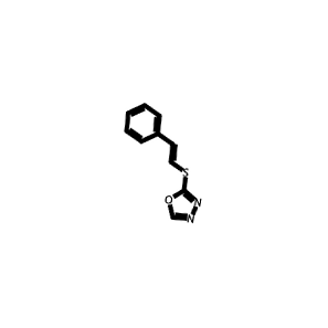 C(=Cc1ccccc1)Sc1nnco1